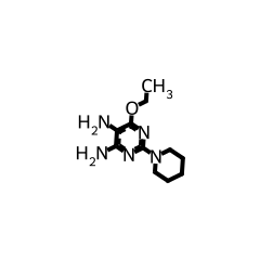 CCOc1nc(N2CCCCC2)nc(N)c1N